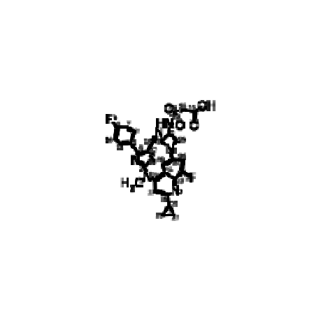 CN(c1nc(-c2ccc(F)cc2)c(C#N)s1)c1cc(C2CC2)nc2c(F)cc(N3CC(NS(=O)(=O)CC(=O)O)C3)cc12